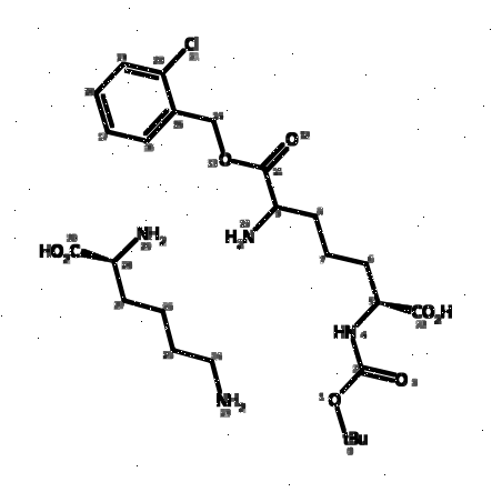 CC(C)(C)OC(=O)N[C@@H](CCCC(N)C(=O)OCc1ccccc1Cl)C(=O)O.NCCCC[C@H](N)C(=O)O